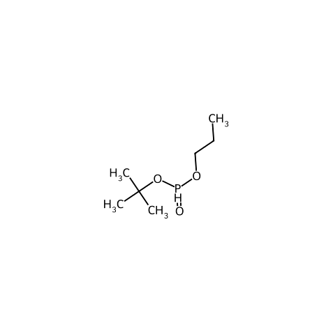 CCCO[PH](=O)OC(C)(C)C